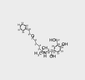 CC(C)(CCCCCOCCc1ccccc1)NCC(O)c1ccc(O)c(CO)c1